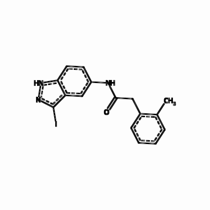 Cc1ccccc1CC(=O)Nc1ccc2[nH]nc(I)c2c1